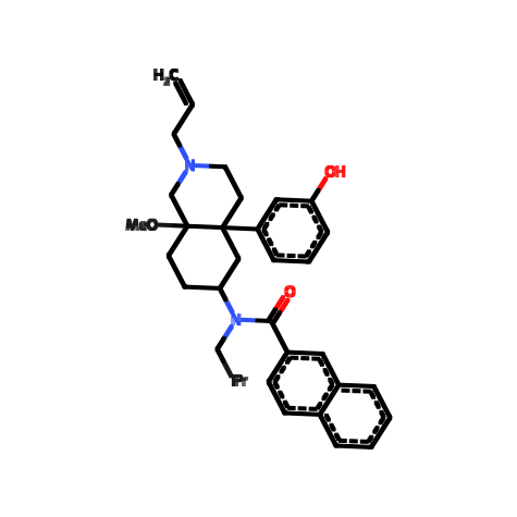 C=CCN1CCC2(c3cccc(O)c3)CC(N(CC(C)C)C(=O)c3ccc4ccccc4c3)CCC2(OC)C1